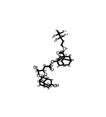 CC(F)(F)C(F)(F)CCOC(=O)C12CC3CC(CC(OC(=O)CC4OC5(OC4=O)C4CC6CC5CC(O)(C6)C4)(C3)C1)C2